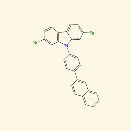 Brc1ccc2c3ccc(Br)cc3n(-c3ccc(-c4ccc5ccccc5c4)cc3)c2c1